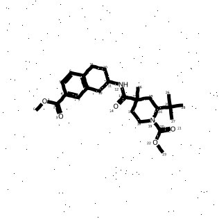 COC(=O)c1ccc2c(c1)CC(NC(=O)C1(C)CCN(C(=O)OC)C(C(C)(C)C)C1)CC2